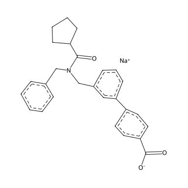 O=C([O-])c1ccc(-c2cccc(CN(Cc3ccccc3)C(=O)C3CCCC3)c2)cc1.[Na+]